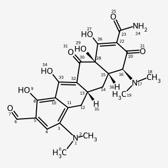 CN(C)c1cc(C=O)c(O)c2c1C[C@H]1C[C@H]3[C@H](N(C)C)C(=O)C(C(N)=O)=C(O)[C@@]3(O)C(=O)C1=C2O